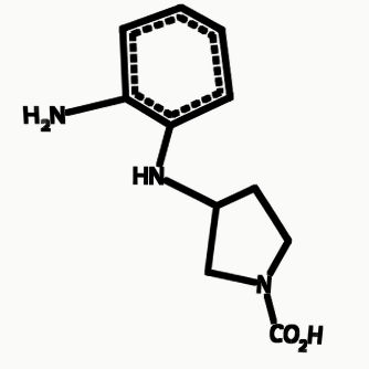 Nc1ccccc1NC1CCN(C(=O)O)C1